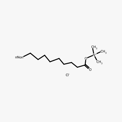 CCCCCCCCCCCCCCCCCC(=O)O[N+](C)(C)C.[Cl-]